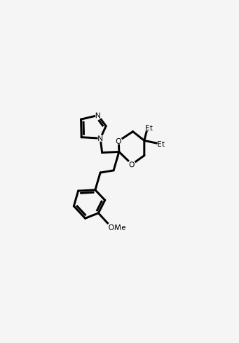 CCC1(CC)COC(CCc2cccc(OC)c2)(Cn2ccnc2)OC1